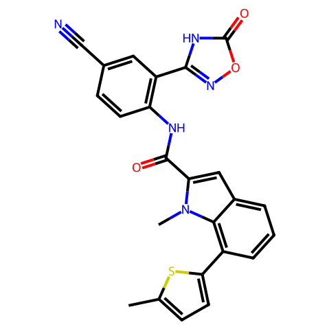 Cc1ccc(-c2cccc3cc(C(=O)Nc4ccc(C#N)cc4-c4noc(=O)[nH]4)n(C)c23)s1